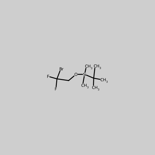 CC(C)(C)[Si](C)(C)OCC(F)(F)Br